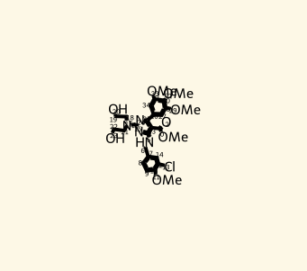 COC(=O)c1c(NCc2ccc(OC)c(Cl)c2)nc(N(CCO)CCO)nc1-c1cc(OC)c(OC)c(OC)c1